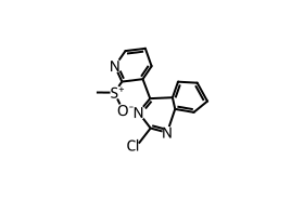 C[S+]([O-])c1ncccc1-c1nc(Cl)nc2ccccc12